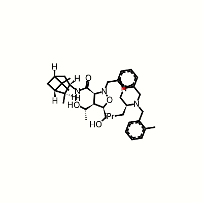 Cc1ccccc1CN(Cc1cccc(CN2O[C@@H](CO)[C@@H]([C@H](C)O)[C@H]2C(=O)N[C@H]2C[C@H]3C[C@@H]([C@@H]2C)C3(C)C)c1)[C@@H](CC(C)C)CN(C)C